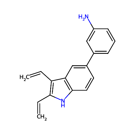 C=Cc1[nH]c2ccc(-c3cccc(N)c3)cc2c1C=C